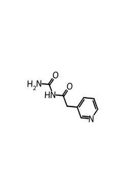 NC(=O)NC(=O)Cc1cccnc1